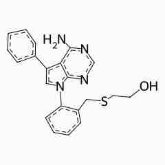 Nc1ncnc2c1c(-c1ccccc1)cn2-c1ccccc1CSCCO